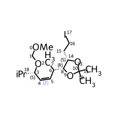 COCO[C@H](/C=C\C(C)[C@H]1OC(C)(C)O[C@H]1CCI)C(C)C